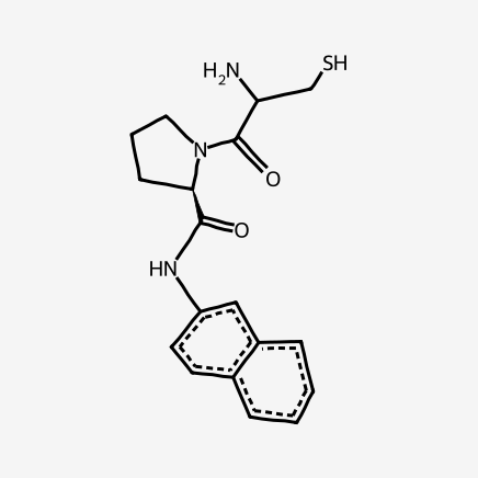 NC(CS)C(=O)N1CCC[C@@H]1C(=O)Nc1ccc2ccccc2c1